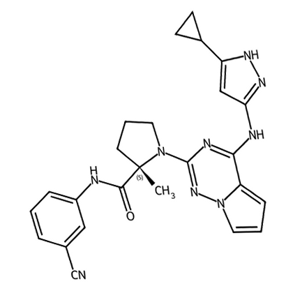 C[C@@]1(C(=O)Nc2cccc(C#N)c2)CCCN1c1nc(Nc2cc(C3CC3)[nH]n2)c2cccn2n1